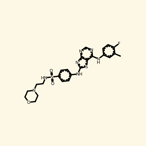 Cc1cc(Nc2ncnc3nc(Nc4ccc(S(=O)(=O)NCCN5CCOCC5)cc4)sc23)ccc1F